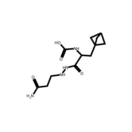 NC(=O)CCNNC(=O)C(CC12CC(C1)C2)NC(=O)O